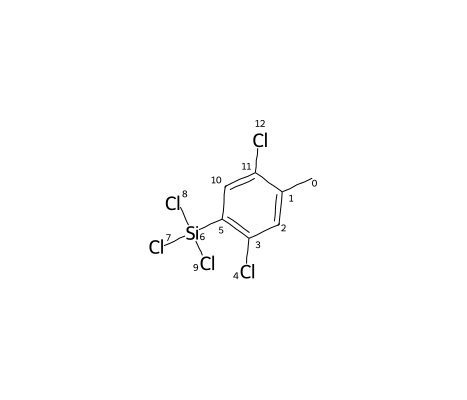 Cc1cc(Cl)c([Si](Cl)(Cl)Cl)cc1Cl